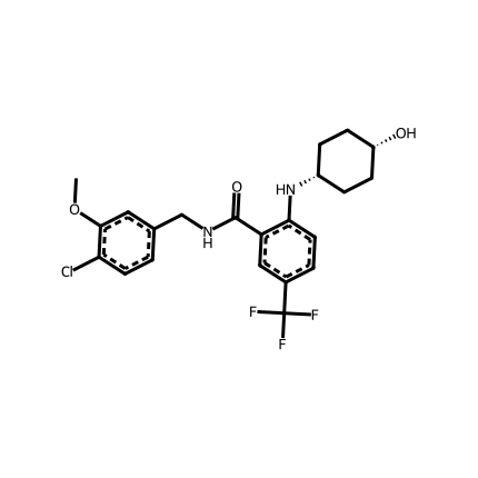 COc1cc(CNC(=O)c2cc(C(F)(F)F)ccc2N[C@H]2CC[C@@H](O)CC2)ccc1Cl